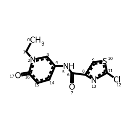 CCn1cc(NC(=O)c2csc(Cl)n2)ccc1=O